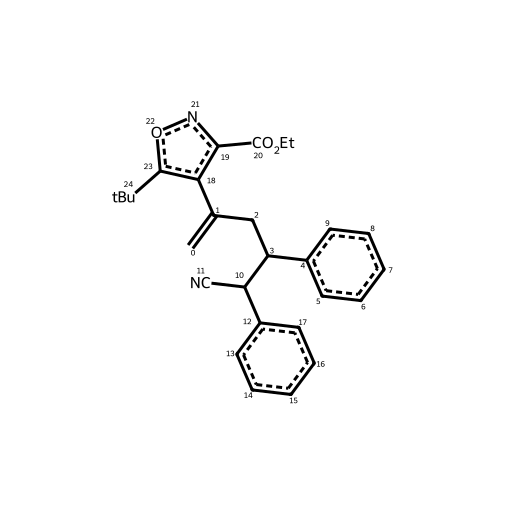 C=C(CC(c1ccccc1)C(C#N)c1ccccc1)c1c(C(=O)OCC)noc1C(C)(C)C